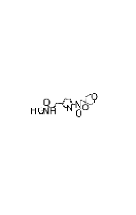 O=C(/C=C/c1ccc(N2CC3(CCOCC3)OC2=O)nc1)NO